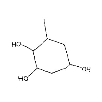 OC1CC(O)C(O)C(I)C1